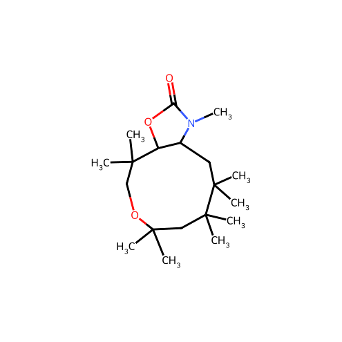 CN1C(=O)OC2C1CC(C)(C)C(C)(C)CC(C)(C)OCC2(C)C